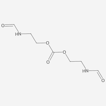 O=CNCCOC(=O)OCCNC=O